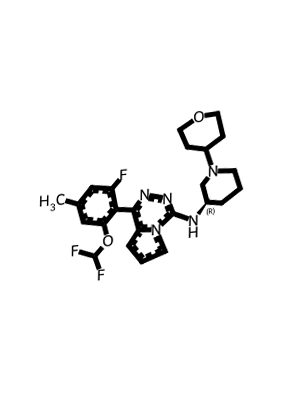 Cc1cc(F)c(-c2nnc(N[C@@H]3CCCN(C4CCOCC4)C3)n3cccc23)c(OC(F)F)c1